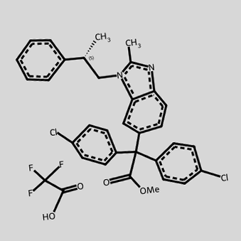 COC(=O)C(c1ccc(Cl)cc1)(c1ccc(Cl)cc1)c1ccc2nc(C)n(C[C@@H](C)c3ccccc3)c2c1.O=C(O)C(F)(F)F